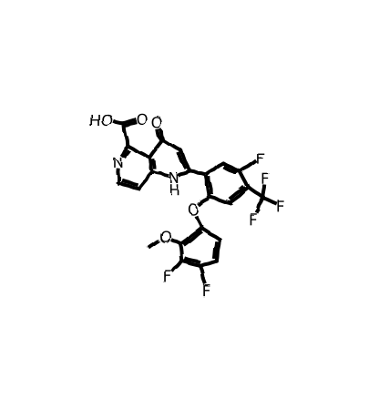 COc1c(Oc2cc(C(F)(F)F)c(F)cc2-c2cc(=O)c3c(C(=O)O)nccc3[nH]2)ccc(F)c1F